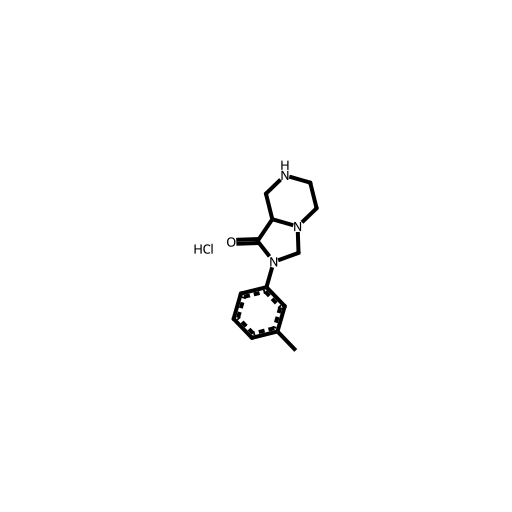 Cc1cccc(N2CN3CCNCC3C2=O)c1.Cl